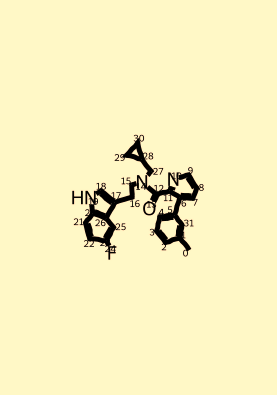 Cc1cccc(-c2cccnc2C(=O)N(CCc2c[nH]c3ccc(F)cc23)CC2CC2)c1